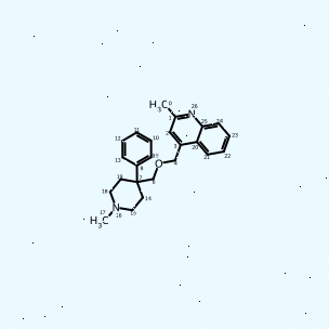 Cc1cc(COCC2(c3ccccc3)CCN(C)CC2)c2ccccc2n1